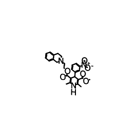 COC(=O)C1=C(C)NC(C)=C(C(=O)OCCN2CCc3ccccc3C2)C1c1cccc([N+](=O)[O-])c1